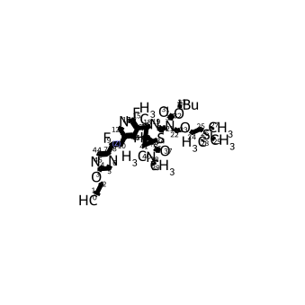 C#CCOc1cnc(/C(F)=C/c2cnc(F)c([C@@]3(C)N=C(N(COCC[Si](C)(C)C)C(=O)OC(C)(C)C)S[C@@]4(C(=O)N(C)C)C[C@H]43)c2)cn1